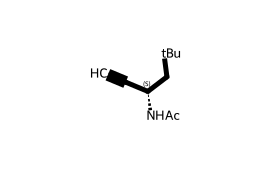 C#C[C@H](CC(C)(C)C)NC(C)=O